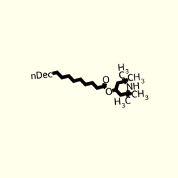 CCCCCCCCCCCCCCCCCCC(=O)OC1CC(C)(C)NC(C)(C)C1